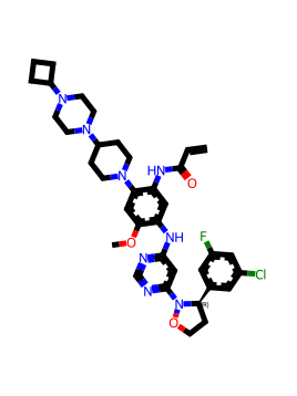 C=CC(=O)Nc1cc(Nc2cc(N3OCC[C@@H]3c3cc(F)cc(Cl)c3)ncn2)c(OC)cc1N1CCC(N2CCN(C3CCC3)CC2)CC1